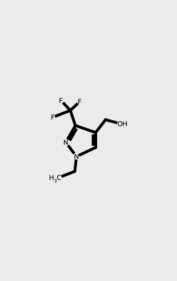 CCn1cc(CO)c(C(F)(F)F)n1